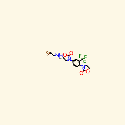 O=C1O[C@@H](CNCC=S)CN1c1ccc(N2CCOC2=O)c(C(F)(F)F)c1